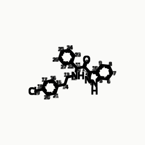 O=C(c1n[nH]c2ccccc12)[C@@H](NCCc1ccc(Cl)cc1)c1ccccc1